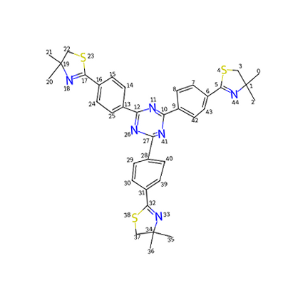 CC1(C)CSC(c2ccc(-c3nc(-c4ccc(C5=NC(C)(C)CS5)cc4)nc(-c4ccc(C5=NC(C)(C)CS5)cc4)n3)cc2)=N1